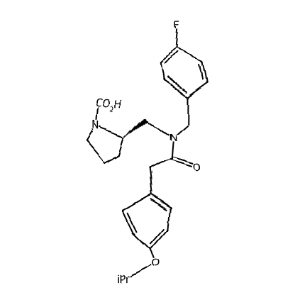 CC(C)Oc1ccc(CC(=O)N(Cc2ccc(F)cc2)C[C@H]2CCCN2C(=O)O)cc1